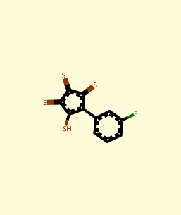 Fc1cccc(-c2c(S)c(=S)c(=S)c2=S)c1